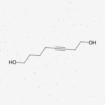 OCCC#CCCCCO